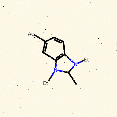 CCN1c2ccc(C(C)=O)cc2N(CC)C1C